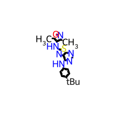 Cc1noc(C)c1Nc1nc2c(Nc3ccc(C(C)(C)C)cc3)ncnc2s1